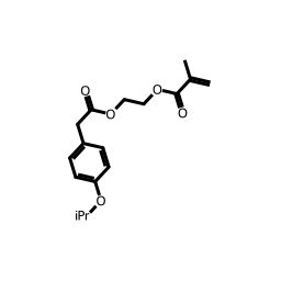 C=C(C)C(=O)OCCOC(=O)Cc1ccc(OC(C)C)cc1